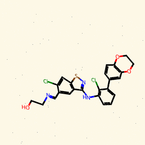 OCCN=Cc1cc2c(Nc3cccc(-c4ccc5c(c4)OCCO5)c3Cl)nsc2cc1Cl